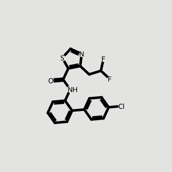 O=C(Nc1ccccc1-c1ccc(Cl)cc1)c1scnc1CC(F)F